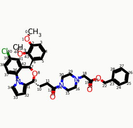 COc1cccc([C@H]2O[C@H](CCC(=O)N3CCN(CC(=O)OCc4ccccc4)CC3)c3cccn3-c3ccc(Cl)cc32)c1OC